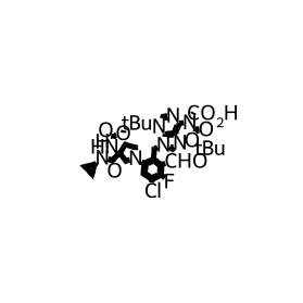 CC(C)(C)OC(=O)NC1(C(=O)NC2CC2)CCN(c2cc(Cl)c(F)c(C=O)c2Cn2cnc3c(N(C(=O)O)C(=O)OC(C)(C)C)ncnc32)C1